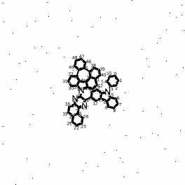 c1ccc(-n2c3ccccc3c3cc(-c4nc5c(ccc6ccccc65)nc4-n4c5cccc6c5c5c7c(cccc7ccc54)-c4ccccc4-6)ccc32)cc1